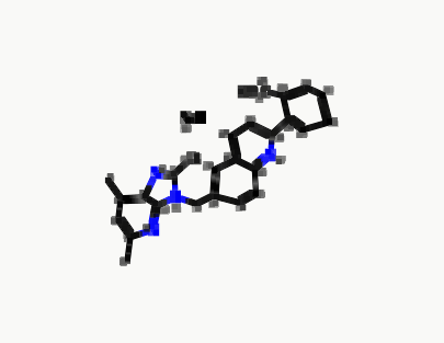 CCc1nc2c(C)cc(C)nc2n1Cc1ccc2nc(-c3ccccc3C(=O)O)ccc2c1.[NaH]